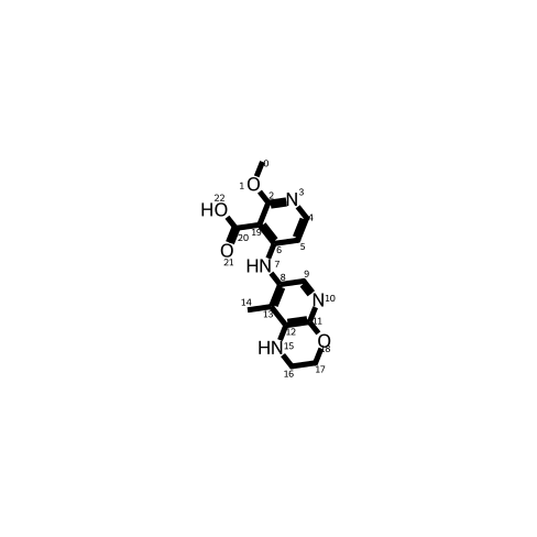 COc1nccc(Nc2cnc3c(c2C)NCCO3)c1C(=O)O